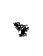 c1ccc([Si](c2ccccc2)(c2cccc(-c3cc(-n4c5ccccc5c5ccccc54)nc(-n4c5ccccc5c5ccccc54)c3)c2)c2cccc3c2oc2ccccc23)cc1